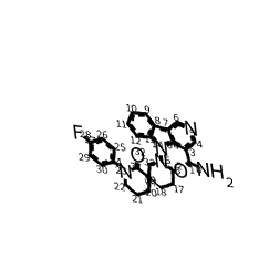 NC(=O)c1cncc2c3ccccc3n(N3CCC[C@]4(CCCN(c5ccc(F)cc5)C4=O)C3)c12